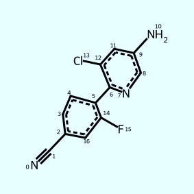 N#Cc1ccc(-c2ncc(N)cc2Cl)c(F)c1